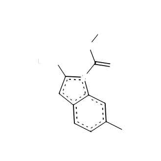 CCOC(=O)c1cc2ccc(C)cc2n1C(=O)OC(C)(C)C